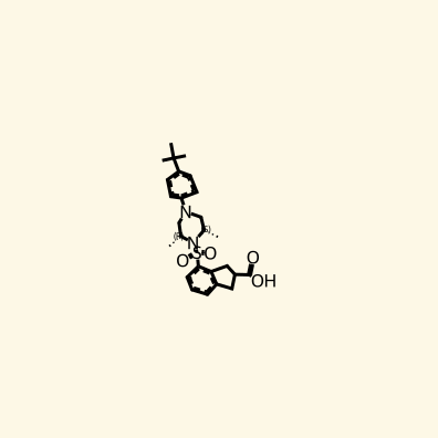 C[C@@H]1CN(c2ccc(C(C)(C)C)cc2)C[C@H](C)N1S(=O)(=O)c1cccc2c1CC(C(=O)O)C2